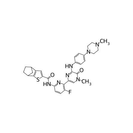 CN1CCN(c2ccc(Nc3nc(-c4nc(NC(=O)c5cc6c(s5)C5CCC6C5)ccc4F)cn(C)c3=O)cc2)CC1